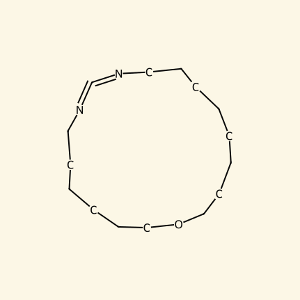 C1=NCCCCCCCCOCCCCCCN=1